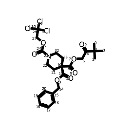 CC(C)(C)C(=O)COC(=O)C1(C(=O)OCc2ccccc2)CCN(C(=O)OCC(Cl)(Cl)Cl)CC1